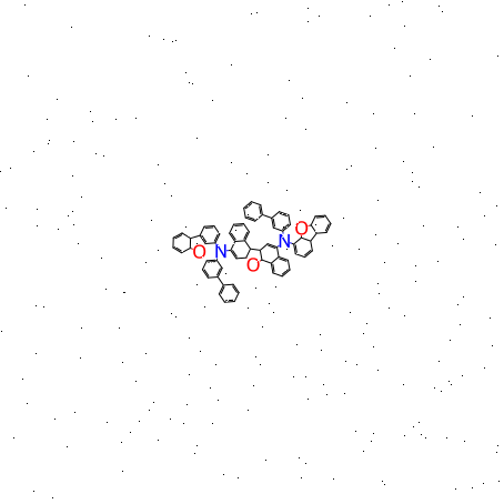 C1=CC2Oc3c(cccc3N(C3=CC4OC5c6ccccc6C(N(C6=CC=CC7C6OC6C=CC=CC67)c6cccc(-c7ccccc7)c6)=CC5C4c4ccccc43)c3cccc(-c4ccccc4)c3)C2C=C1